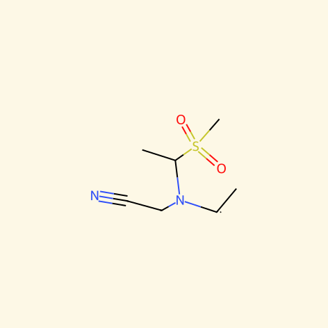 C[CH]N(CC#N)C(C)S(C)(=O)=O